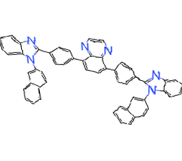 c1ccc2cc(-n3c(-c4ccc(-c5ccc(-c6ccc(-c7nc8ccccc8n7-c7ccc8ccccc8c7)cc6)c6nccnc56)cc4)nc4ccccc43)ccc2c1